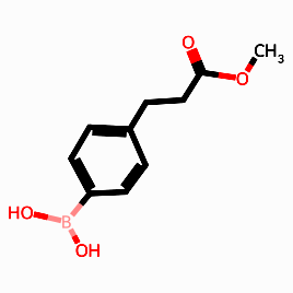 COC(=O)CCc1ccc(B(O)O)cc1